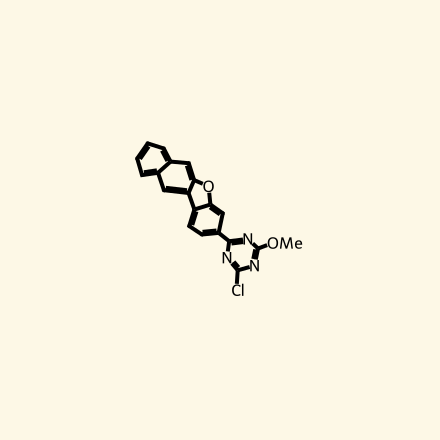 COc1nc(Cl)nc(-c2ccc3c(c2)oc2cc4ccccc4cc23)n1